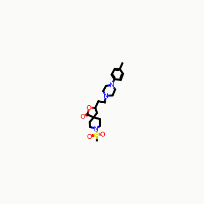 Cc1ccc(N2CCN(CCC3CC4(CCN(S(C)(=O)=O)CC4)C(=O)O3)CC2)cc1